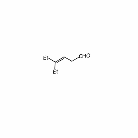 CCC(=CCC=O)CC